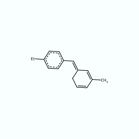 CCc1ccc(/C=C2/C=C(C)C=CC2)cc1